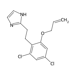 C=CCOc1cc(Cl)cc(Cl)c1CCc1ncc[nH]1